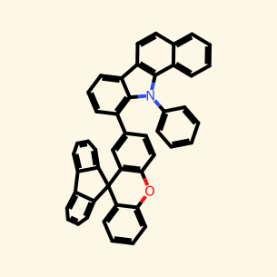 c1ccc(-n2c3c(-c4ccc5c(c4)C4(c6ccccc6O5)c5ccccc5-c5ccccc54)cccc3c3ccc4ccccc4c32)cc1